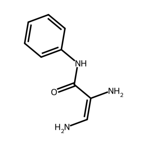 N/C=C(/N)C(=O)Nc1ccccc1